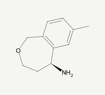 Cc1ccc2c(c1)[C@@H](N)CCOC2